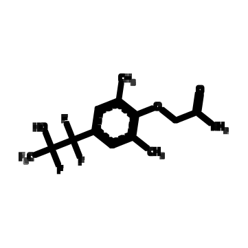 Cc1cc(C(F)(F)C(O)(F)C(F)(F)F)cc(C)c1OCC(N)=O